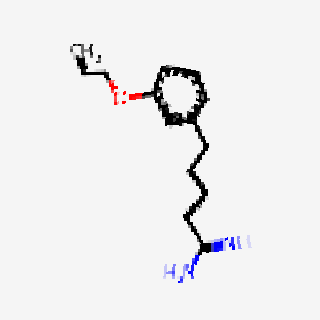 C=CCOc1cccc(CCCCC(=N)N)c1